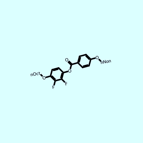 CCCCCCCCCOc1ccc(C(=O)Oc2ccc(OCCCCCCCC)c(F)c2F)cc1